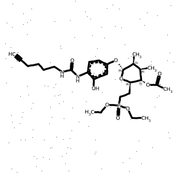 C#CCCCCNC(=O)Nc1ccc(O[C@H]2O[C@H](CCP(=O)(OCC)OCC)[C@@H](OC(C)=O)[C@H](C)[C@@H]2C)cc1O